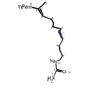 CCCCCC(C)=CCC/C=C\CCNC(N)=O